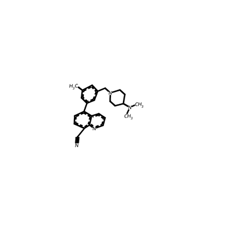 Cc1cc(CN2CCC(N(C)C)CC2)cc(-c2ccc(C#N)c3ncccc23)c1